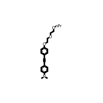 CCCOCCOCCOc1ccc(C#Cc2ccc(N(C)C)cc2)cc1